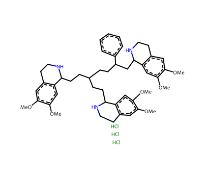 COc1cc2c(cc1OC)C(CCC(CCC(CC1NCCc3cc(OC)c(OC)cc31)c1ccccc1)CCC1NCCc3cc(OC)c(OC)cc31)NCC2.Cl.Cl.Cl